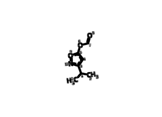 CC(C)c1cc(OC=O)on1